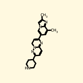 Cc1cn2cc(C3=CCN4N=C(C5CCNCC5)C=CC4=N3)cc(C)c2n1